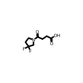 O=C(O)CCC(=O)N1CCC(F)(F)C1